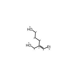 CCC=C(CO)CCCO